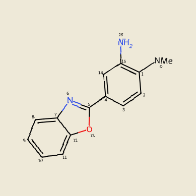 CNc1ccc(-c2nc3ccccc3o2)cc1N